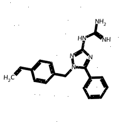 C=Cc1ccc(Cn2nc(NC(=N)N)nc2-c2ccccc2)cc1